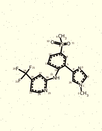 Cn1cnc(-c2cc(S(C)(=O)=O)ccc2Nc2cc(C(F)(F)F)ccn2)c1